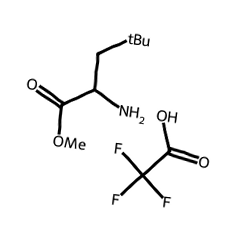 COC(=O)C(N)CC(C)(C)C.O=C(O)C(F)(F)F